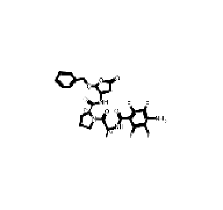 C[C@H](NC(=O)c1c(F)c(F)c(N)c(F)c1F)C(=O)N1CCC[C@H]1C(=O)NC1CC(=O)OC1OCc1ccccc1